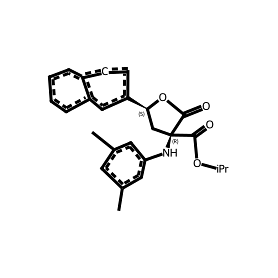 Cc1cc(C)cc(N[C@@]2(C(=O)OC(C)C)C[C@@H](c3ccc4ccccc4c3)OC2=O)c1